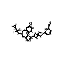 N#Cc1cccc(N2CC3(CC(c4nnc5n4-c4ccc(Cl)cc4CN(CC(F)(F)C4CC4)C5)C3)C2)n1